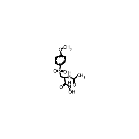 COc1ccc(S(=O)(=O)CC(NC(C)=O)C(=O)NO)cc1